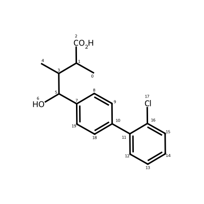 CC(C(=O)O)C(C)C(O)c1ccc(-c2ccccc2Cl)cc1